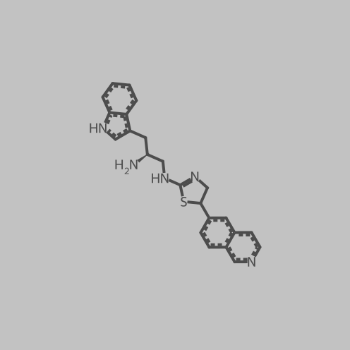 N[C@H](CNC1=NCC(c2ccc3cnccc3c2)S1)Cc1c[nH]c2ccccc12